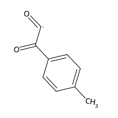 Cc1ccc(C(=O)[C]=O)cc1